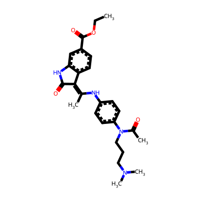 CCOC(=O)c1ccc2c(c1)NC(=O)C2=C(C)Nc1ccc(N(CCCN(C)C)C(C)=O)cc1